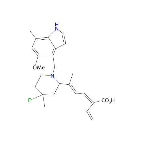 C=C/C(=C\C=C(/C)C1CC(C)(F)CCN1Cc1c(OC)cc(C)c2[nH]ccc12)C(=O)O